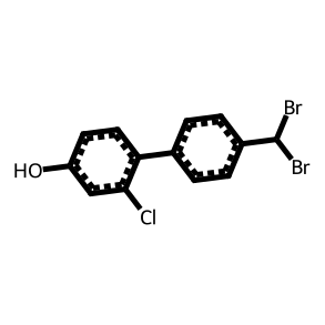 Oc1ccc(-c2ccc(C(Br)Br)cc2)c(Cl)c1